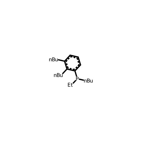 CCCCc1cccc(P(CC)CCCC)c1CCCC